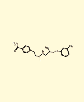 C[C@H](CCc1ccc(C(N)=O)cc1)NCC(O)COc1cccc(O)c1